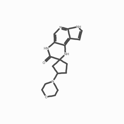 O=C1Nc2cnc3[nH]ccc3c2NC12CCC(N1CCOCC1)C2